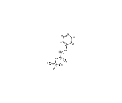 CS(=O)(=O)CC(=O)NCc1ccccc1